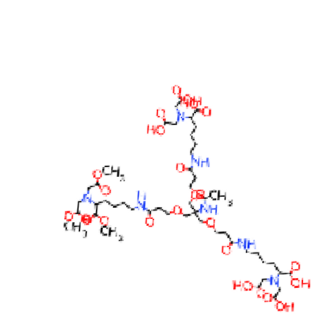 COC(=O)CN(CC(=O)OC)C(CCCCNC(=O)CCOCC(COCCC(=O)NCCCCC(C(=O)O)N(CC(=O)O)CC(=O)O)(COCCC(=O)NCCCCC(C(=O)O)N(CC(=O)O)CC(=O)O)NC(C)=O)C(=O)OC